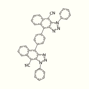 N#Cc1c2ccccc2c(-c2ccc(-c3c4ccccc4c(C#N)c4c3nnn4-c3ccccc3)cc2)c2nnn(-c3ccccc3)c12